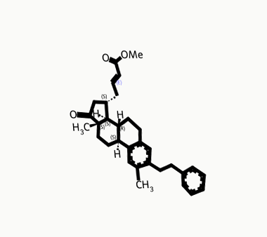 COC(=O)/C=C/C[C@H]1CC(=O)[C@@]2(C)CC[C@@H]3c4cc(C)c(CCc5ccccc5)cc4CC[C@H]3[C@H]12